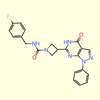 O=C(NCc1ccc(F)cc1)N1CC(c2nc3c(cnn3-c3ccccc3)c(=O)[nH]2)C1